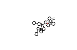 Fc1cccc2c3ccccc3n(-c3ccccc3-c3ccc(N(c4ccc(-c5ccccc5)cc4)c4cccc5oc6c(-c7ccccc7)cccc6c45)cc3)c12